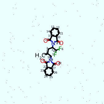 C=C(CC(C(F)F)N1C(=O)c2ccccc2C1=O)CN1C(=O)c2ccccc2C1=O